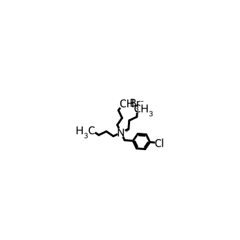 CCCC[N+](CCCC)(CCCC)Cc1ccc(Cl)cc1.[Br-]